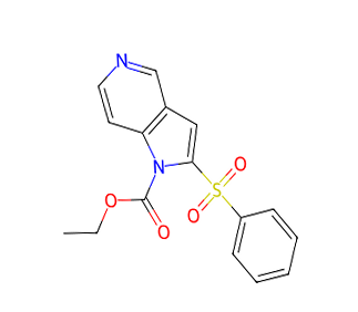 CCOC(=O)n1c(S(=O)(=O)c2ccccc2)cc2cnccc21